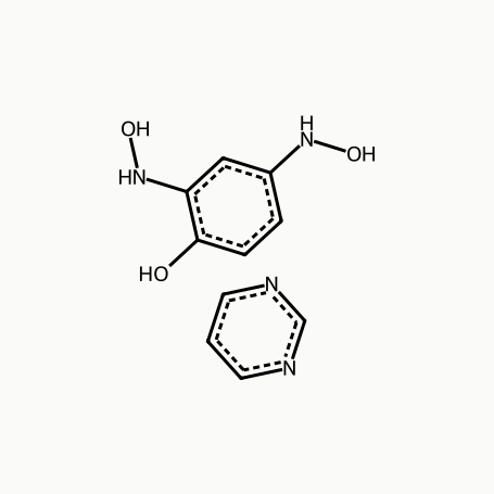 ONc1ccc(O)c(NO)c1.c1cncnc1